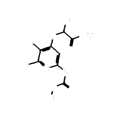 COC(=O)C(C)Sc1cc(NC(=O)OC(C)(C)C)nc(Cl)c1Cl